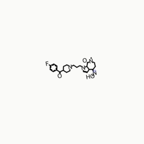 CN1CC/C(=N/O)C2C=CN(CCCN3CCC(C(=O)c4ccc(F)cc4)CC3)C2C1=O